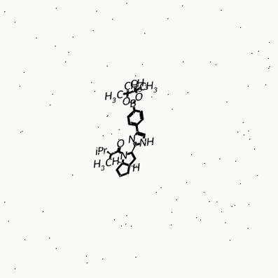 CC(C)[C@H](C)C(=O)N1[C@@H](c2nc(-c3ccc(B4OC(C)(C)C(C)(C)O4)cc3)c[nH]2)C[C@H]2CCC[C@H]21